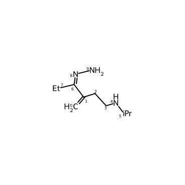 C=C(CCNC(C)C)/C(CC)=N\N